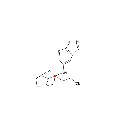 N#CCCCN1C2CCC1CC(Nc1ccc3[nH]ncc3c1)C2